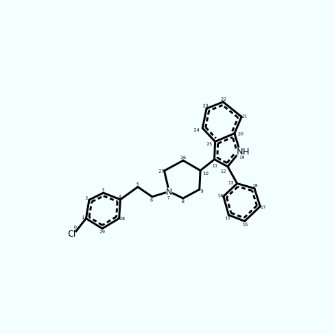 Clc1ccc(CCN2CCC(c3c(-c4ccccc4)[nH]c4ccccc34)CC2)cc1